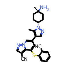 Cc1c(-c2cc(Sc3ccccc3C#N)c3c(C#N)cnn3c2)cnn1[C@H]1CC[C@@](C)(N)CC1